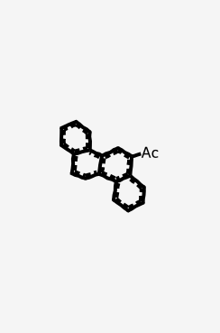 CC(=O)c1cc2c3ccccc3ccc2c2ccccc12